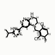 CC(C)c1nnc(-c2cc3c(nn2)NCCN3CC2=C(Cl)C(F)CC=C2Cl)[nH]1